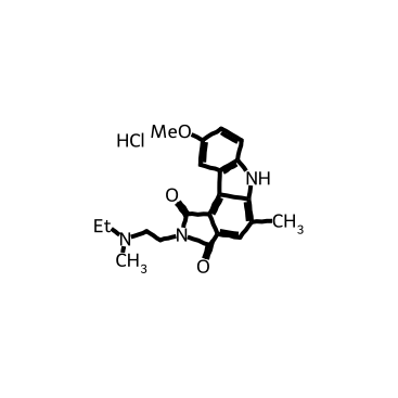 CCN(C)CCN1C(=O)c2cc(C)c3[nH]c4ccc(OC)cc4c3c2C1=O.Cl